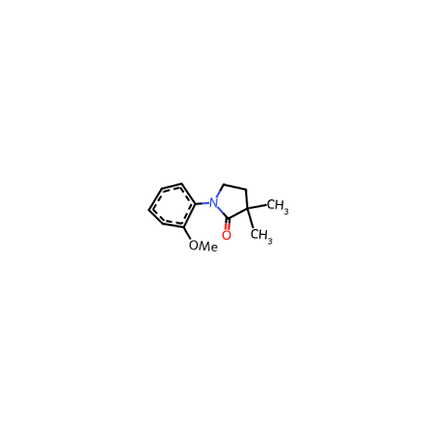 COc1ccccc1N1CCC(C)(C)C1=O